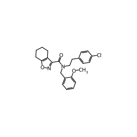 COc1ccccc1CN(CCc1ccc(Cl)cc1)C(=O)c1noc2c1CCCC2